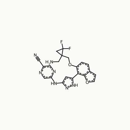 N#Cc1cnc(Nc2cc(-c3c(OCC4(CN)CC4(F)F)ccc4ccoc34)[nH]n2)cn1